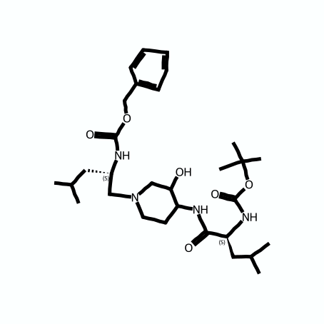 CC(C)C[C@@H](CN1CCC(NC(=O)[C@H](CC(C)C)NC(=O)OC(C)(C)C)C(O)C1)NC(=O)OCc1ccccc1